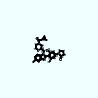 Cc1ccc2c(c1)nc(-c1c(F)cc(N3CCCC3=O)cc1Cl)n2CC1CN(C(=O)C2CC2)CCO1